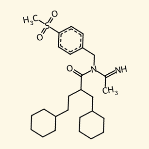 CC(=N)N(Cc1ccc(S(C)(=O)=O)cc1)C(=O)C(CCC1CCCCC1)CC1CCCCC1